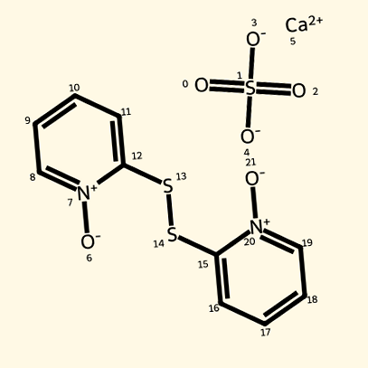 O=S(=O)([O-])[O-].[Ca+2].[O-][n+]1ccccc1SSc1cccc[n+]1[O-]